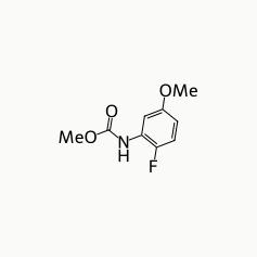 COC(=O)Nc1cc(OC)ccc1F